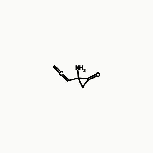 C=C=CC1(N)CC1=O